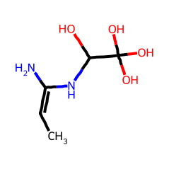 CC=C(N)NC(O)C(O)(O)O